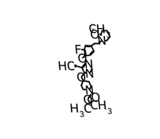 C#Cc1c(Oc2ccc(CCN3CCCCC3OC)cc2F)ncnc1OC1CCN(C(=O)OC(C)C)CC1